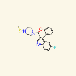 CSN1CCN(C(=O)c2cnc3ccc(F)cc3c2-c2ccccc2)CC1